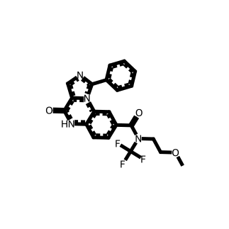 COCCN(C(=O)c1ccc2[nH]c(=O)c3cnc(-c4ccccc4)n3c2c1)C(F)(F)F